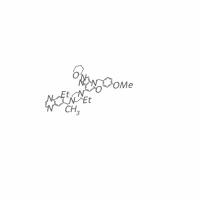 CC[C@H]1CN(C(C)c2ccc3nccnc3c2)[C@H](CC)CN1c1cc(=O)n(Cc2ccc(OC)cc2)c2cn(C3CCCCO3)nc12